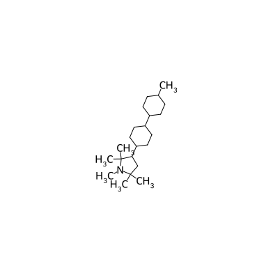 CC1CCC(C2CCC(C3CC(C)(C)N(C)C3(C)C)CC2)CC1